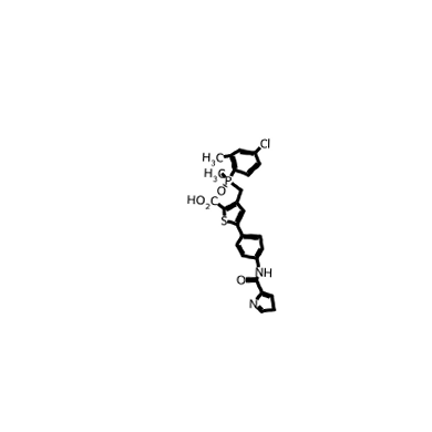 Cc1cc(Cl)ccc1P(C)(=O)Cc1cc(-c2ccc(NC(=O)C3=CCC=N3)cc2)sc1C(=O)O